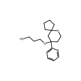 OCCCOC1(c2ccccn2)CCOC2(CCCC2)C1